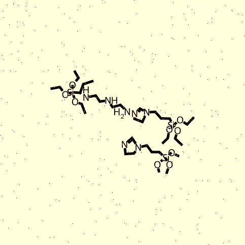 CCO[Si](CCCN1C=NCC1)(OCC)OCC.CCO[Si](OCC)(OCC)C(CC)NCCNCCN.CO[Si](CCCN1C=NCC1)(OC)OC